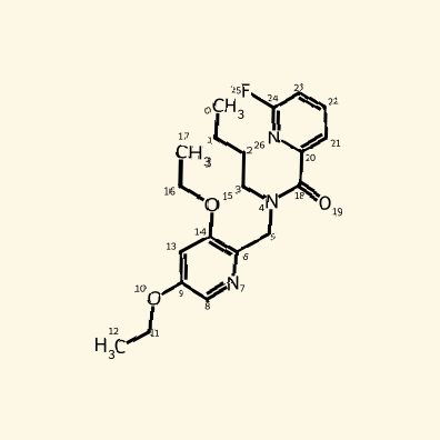 CCCCN(Cc1ncc(OCC)cc1OCC)C(=O)c1cccc(F)n1